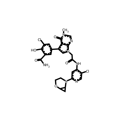 Cn1cnc2c(c(-c3cc(Cl)c(O)c(C(N)=O)c3)cn2CC(=O)Nc2cc(N3CCOC4CC43)ncc2Cl)c1=O